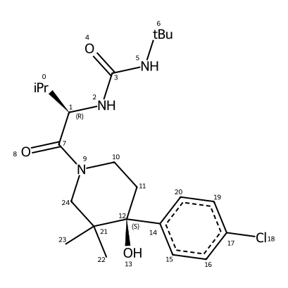 CC(C)[C@@H](NC(=O)NC(C)(C)C)C(=O)N1CC[C@](O)(c2ccc(Cl)cc2)C(C)(C)C1